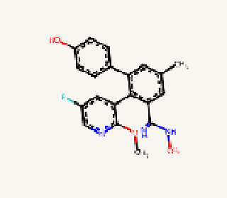 COc1ncc(F)cc1-c1c(C(=N)NO)cc(C)cc1-c1ccc(O)cc1